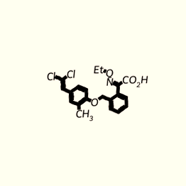 CCON=C(C(=O)O)c1ccccc1COc1ccc(C=C(Cl)Cl)cc1C